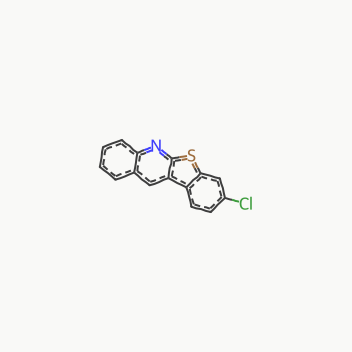 Clc1ccc2c(c1)sc1nc3ccccc3cc12